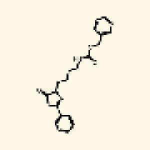 O=C(NCCCCC1N=C(c2ccccc2)OC1=O)OCc1ccccc1